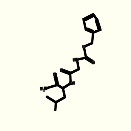 CC(C)CC(NC(=O)CNC(=O)OCc1ccccc1)C(N)=O